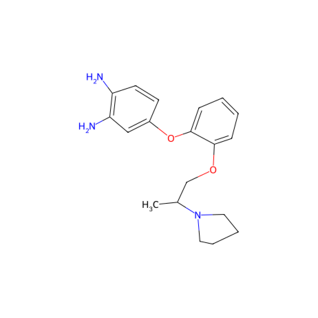 CC(COc1ccccc1Oc1ccc(N)c(N)c1)N1CCCC1